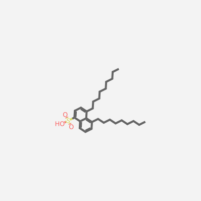 CCCCCCCCCc1cccc2c(S(=O)(=O)O)ccc(CCCCCCCCC)c12